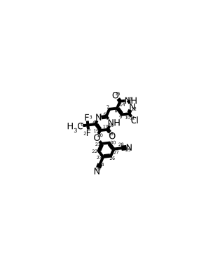 CC(F)(F)c1nc(Cc2cc(Cl)n[nH]c2=O)[nH]c(=O)c1Oc1cc(C#N)cc(C#N)c1